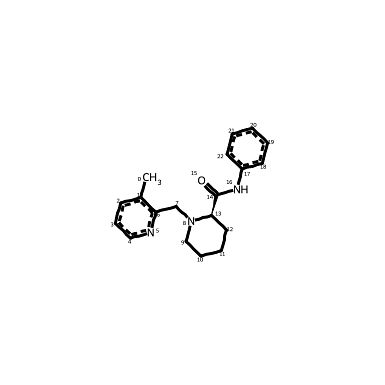 Cc1cccnc1CN1CCCC[C@@H]1C(=O)Nc1ccccc1